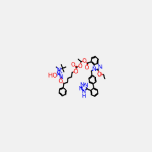 CCOc1nc2cccc(C(=O)OC(C)OC(=O)OCCCCC(O/N=[N+](\O)N(C)C(C)(C)C)c3ccccc3)c2n1Cc1ccc(-c2ccccc2-c2nnn[nH]2)cc1